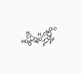 Cc1nc(OC2CCC2)ccc1-c1cc(COc2cc3c(cn2)[C@@H](C(=O)O)C(C)C3)c(F)cc1C(F)(F)F